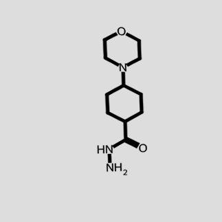 NNC(=O)C1CCC(N2CCOCC2)CC1